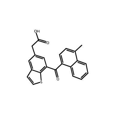 Cc1ccc(C(=O)c2cc(CC(=O)O)cc3ccsc23)c2ccccc12